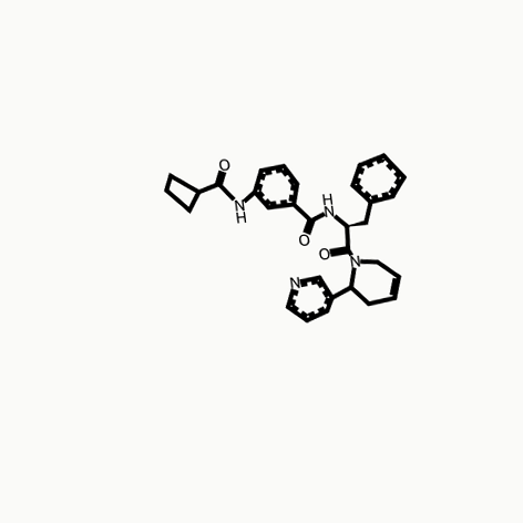 O=C(N[C@@H](Cc1ccccc1)C(=O)N1CC=CCC1c1cccnc1)c1cccc(NC(=O)C2CCC2)c1